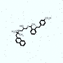 CC(OC[C@H](O)CNC(C)(C)Cc1ccc2ccccc2c1)c1ccccc1CCc1ccc(C(=O)O)cc1